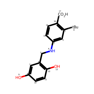 CC(C)(C)c1cc(NCc2cc(O)ccc2O)ccc1C(=O)O